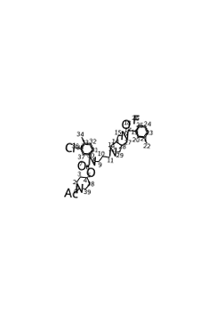 CC(=O)N1CCC(OC(=O)N(CCCN2CC3CN(C(=O)c4cc(C)ccc4F)CC3C2)c2ccc(C)c(Cl)c2)CC1